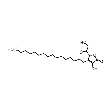 O=C(O)CCCCCCCCCCCCCCCC1=C(O)C(=O)O[C@H]1[C@@H](O)CO